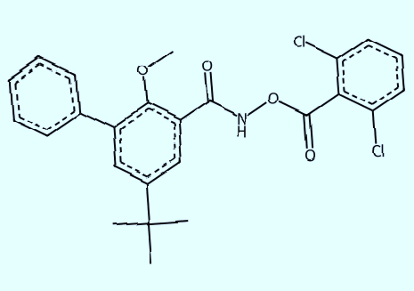 COc1c(C(=O)NOC(=O)c2c(Cl)cccc2Cl)cc(C(C)(C)C)cc1-c1ccccc1